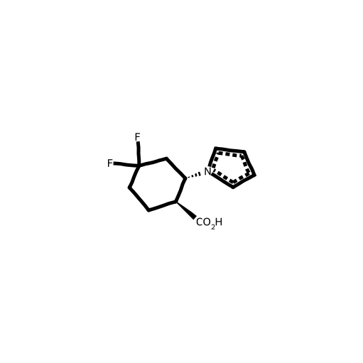 O=C(O)[C@H]1CCC(F)(F)C[C@@H]1n1cccc1